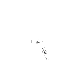 CC=COCCOOOOC=CCCCCCCCCCCCCCCCCCC.CC=COCCOOOOC=CCCCCCCCCCCCCCCCCCC.O=P(O)(O)O